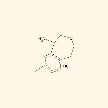 Cc1ccc2c(c1)C(N)COCC2.Cl